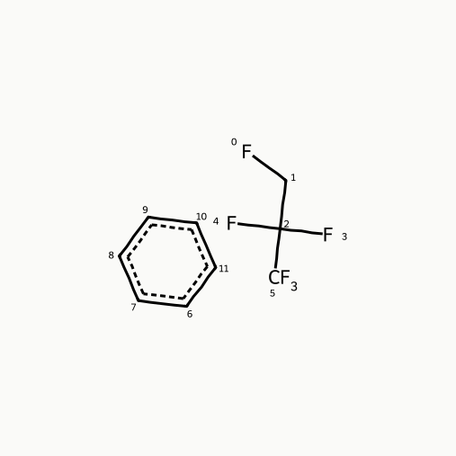 FCC(F)(F)C(F)(F)F.c1ccccc1